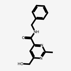 Cc1nc(CO)cc(C(=O)NCc2ccccc2)n1